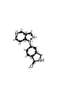 O=C1NCc2cc(-n3ncc4cnccc43)ccc21